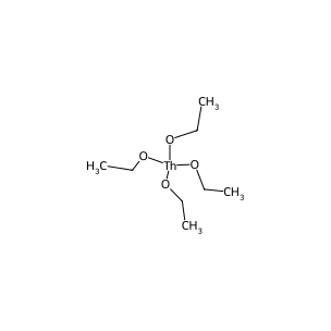 CC[O][Th]([O]CC)([O]CC)[O]CC